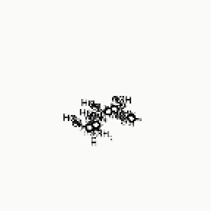 Cc1ccc(S(=O)(=O)Oc2cc(S(=O)(=O)O)cc3cc(SOOO)c(N=Nc4cc(N)c5c(O)cc(SOOO)cc5c4S(=O)(=O)O)cc23)cc1